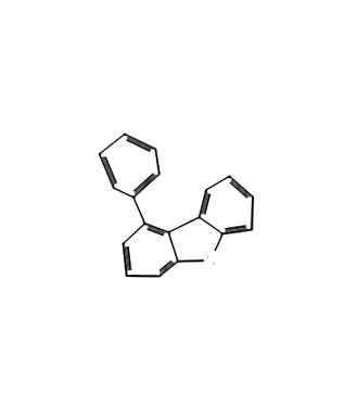 [c]1[c][c]c(-c2cccc3sc4ccccc4c23)c[c]1